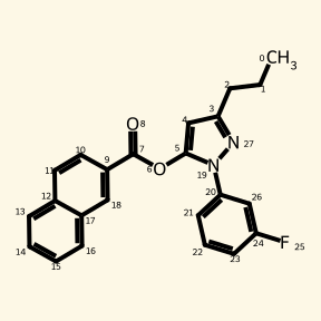 CCCc1cc(OC(=O)c2ccc3ccccc3c2)n(-c2cccc(F)c2)n1